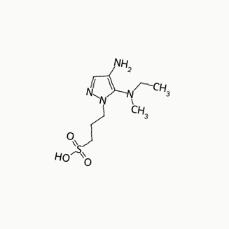 CCN(C)c1c(N)cnn1CCCS(=O)(=O)O